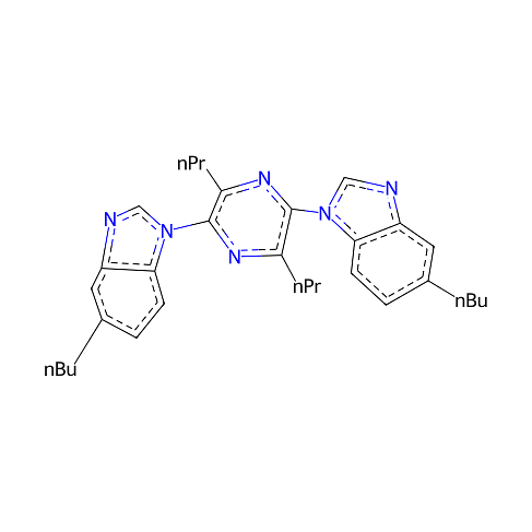 CCCCc1ccc2c(c1)ncn2-c1nc(CCC)c(-n2cnc3cc(CCCC)ccc32)nc1CCC